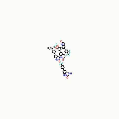 CC(C)c1ccc(-c2ccc3c(c2)CCC(=O)N3)cc1.O=C1CCCc2cc(-c3ccc4c(c3)OC(F)(F)O4)ccc2N1.O=C1CCc2cc(-c3ccc(C(F)(F)F)c(F)c3)ccc2N1.O=C1CNCc2cc(-c3ccc(C(F)(F)F)cc3)ccc2N1